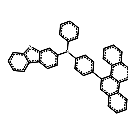 c1ccc(N(c2ccc(-c3cc4ccccc4c4ccc5ccccc5c34)cc2)c2ccc3c(c2)sc2ccccc23)cc1